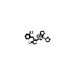 O=C1CC[C@@H]([C@@H](O)CN(C2CCCC2)C2CCCC2)N1Cc1ccccc1Cl